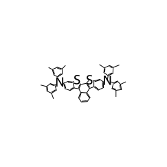 Cc1cc(C)cc(N(c2cc(C)cc(C)c2)c2ccc3c(c2)sc2c4sc5cc(N(c6cc(C)cc(C)c6)c6cc(C)cc(C)c6)ccc5c4c4ccccc4c32)c1